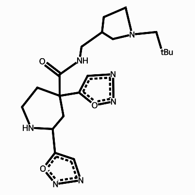 CC(C)(C)CN1CCC(CNC(=O)C2(c3cnno3)CCNC(c3cnno3)C2)C1